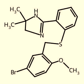 COc1ccc(Br)cc1CSc1ccccc1C1=NCC(C)(C)N1